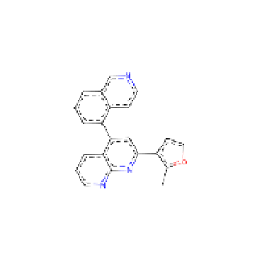 Cc1occc1-c1cc(-c2cccc3cnccc23)c2cccnc2n1